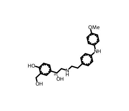 COc1ccc(Nc2ccc(CCNC[C@H](O)c3ccc(O)c(CO)c3)cc2)cc1